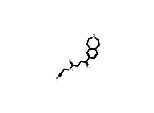 C#CCNC(=O)CCC(=O)c1ccc2c(c1)CCNCC2